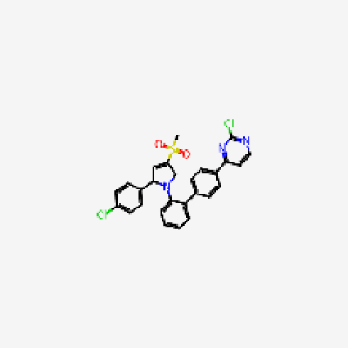 CS(=O)(=O)C1=CC(c2ccc(Cl)cc2)N(c2ccccc2-c2ccc(-c3ccnc(Cl)n3)cc2)C1